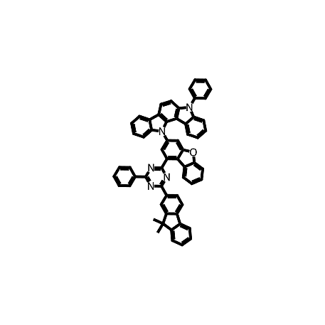 CC1(C)c2ccccc2-c2ccc(-c3nc(-c4ccccc4)nc(-c4cc(-n5c6ccccc6c6ccc7c(c8ccccc8n7-c7ccccc7)c65)cc5oc6ccccc6c45)n3)cc21